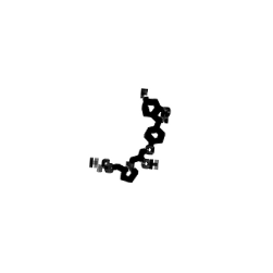 COCC1CCCN1CC(O)COc1ccc(-c2noc3cc(F)ccc23)cc1